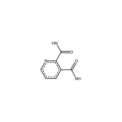 [NH]C(=O)c1cccnc1C([NH])=O